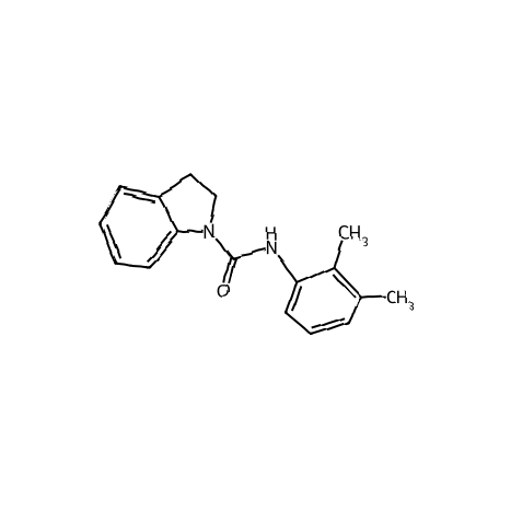 Cc1cccc(NC(=O)N2CCc3ccccc32)c1C